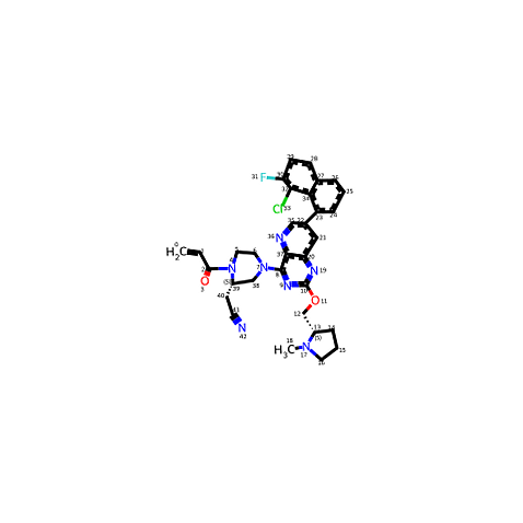 C=CC(=O)N1CCN(c2nc(OC[C@@H]3CCCN3C)nc3cc(-c4cccc5ccc(F)c(Cl)c45)cnc23)C[C@@H]1CC#N